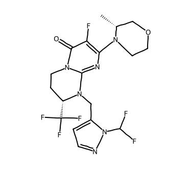 C[C@@H]1COCCN1c1nc2n(c(=O)c1F)CC[C@@H](C(F)(F)F)N2Cc1ccnn1C(F)F